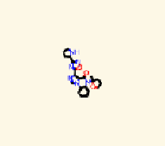 CC1(N2C(=O)C3C(c4nc(C5CCCN5)no4)N=CN3c3ccccc32)CCCO1